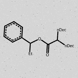 CCCCCCCCCCC(CCCCCCCCCC)C(=O)OC(CC)c1ccccc1